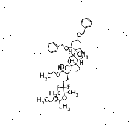 CCOC(=O)[C@H](CCC(F)(F)C(C)(C)OC(C)OCC)[C@H]1CC[C@H]2[C@@H]3CC=C4C[C@@H](OCc5ccccc5)C[C@H](OCc5ccccc5)[C@]4(C)[C@H]3CC[C@]12C